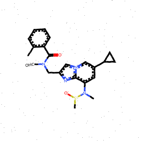 Cc1ccccc1C(=O)N(C=O)Cc1cn2cc(C3CC3)cc(N(C)[S+](C)[O-])c2n1